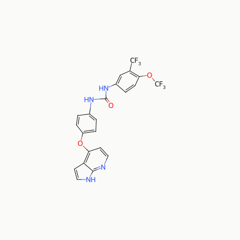 O=C(Nc1ccc(Oc2ccnc3[nH]ccc23)cc1)Nc1ccc(OC(F)(F)F)c(C(F)(F)F)c1